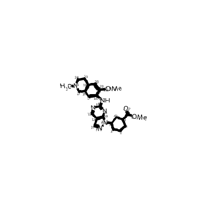 COC(=O)C1CCCC(n2ncc3cnc(Nc4cc5c(cc4OC)CCN(C)C5)nc32)C1